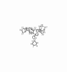 O=C(OCc1ccccc1)c1nc(C2CC3C=CC2C3)[nH]c1COC12CC3CC(CC(C3)C1)C2